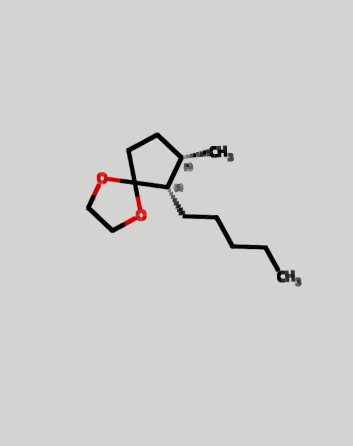 CCCCC[C@H]1[C@@H](C)CCC12OCCO2